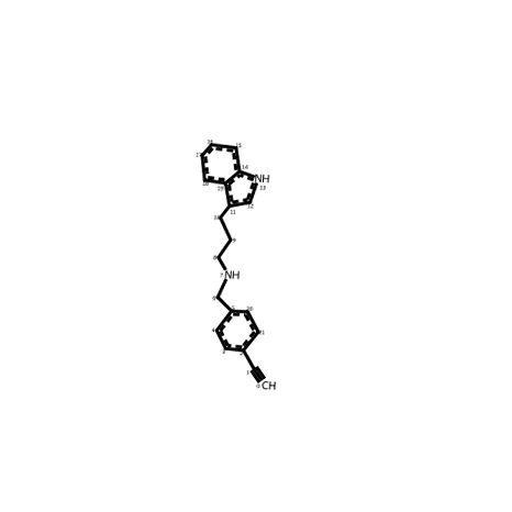 C#Cc1ccc(CNCCCc2c[nH]c3ccccc23)cc1